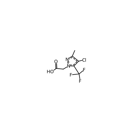 Cc1nn(CC(=O)O)c(C(F)(F)F)c1Cl